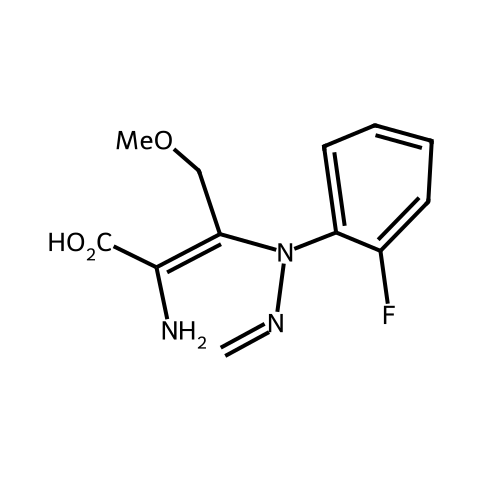 C=NN(/C(COC)=C(\N)C(=O)O)c1ccccc1F